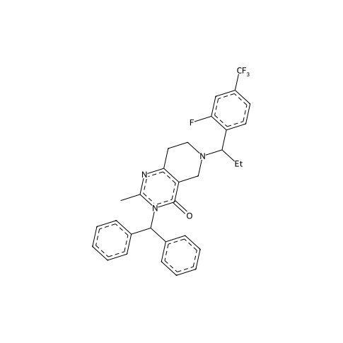 CCC(c1ccc(C(F)(F)F)cc1F)N1CCc2nc(C)n(C(c3ccccc3)c3ccccc3)c(=O)c2C1